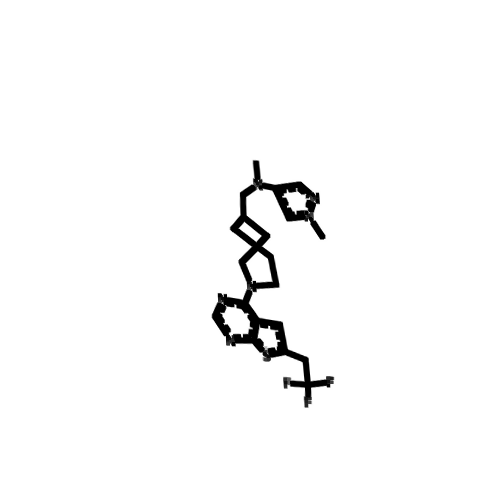 CN(CC1CC2(CCN(c3ncnc4sc(CC(F)(F)F)cc34)C2)C1)c1cnn(C)c1